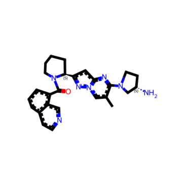 Cc1cn2nc([C@@H]3CCCCN3C(=O)c3cccc4ccncc34)cc2nc1N1CC[C@H](N)C1